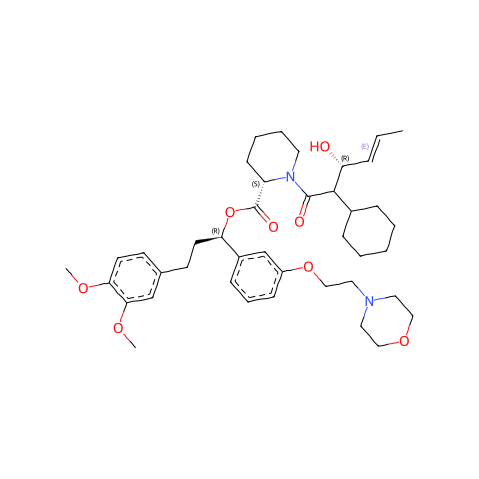 C/C=C/[C@@H](O)C(C(=O)N1CCCC[C@H]1C(=O)O[C@H](CCc1ccc(OC)c(OC)c1)c1cccc(OCCN2CCOCC2)c1)C1CCCCC1